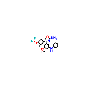 CCOc1cc(Nc2ccccc2)cc(C2(c3ccc(OC(F)F)c(C)c3)COC(N)=N2)c1